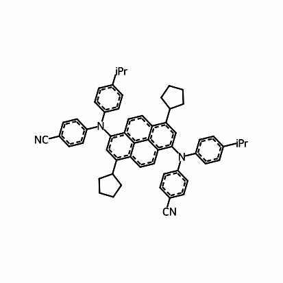 CC(C)c1ccc(N(c2ccc(C#N)cc2)c2cc(C3CCCC3)c3ccc4c(N(c5ccc(C#N)cc5)c5ccc(C(C)C)cc5)cc(C5CCCC5)c5ccc2c3c54)cc1